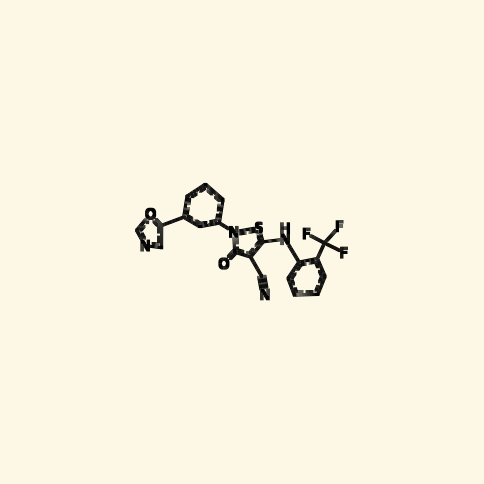 N#Cc1c(Nc2ccccc2C(F)(F)F)sn(-c2cccc(-c3cnco3)c2)c1=O